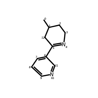 CC1CCN=C(c2cccnc2)C1